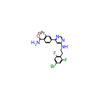 CCCc1cc(-c2cc(NCCc3c(F)cc(Br)cc3F)ncn2)ccc1C(N)=O